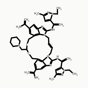 C=C(N)c1cc2c3c(c1)nc(NC(=C)c1cc(C)nn1CC)n3C/C=C/Cn1c(NC(=C)c3cc(C)nn3CC)nc3cc(C(=C)N)cc(c31)CCC(CN1CCCCC1)CC2